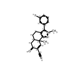 Cn1nc2c(c1-c1cccc(F)c1)CCC1CC(=O)C(C#N)=CC21C